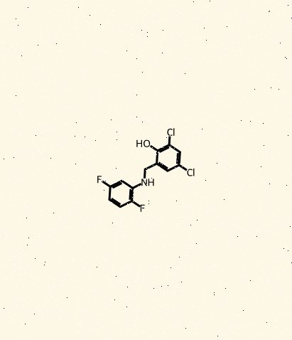 Oc1c(Cl)cc(Cl)cc1CNc1cc(F)ccc1F